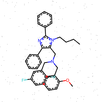 CCCCn1c(-c2ccccc2)nc(-c2ccccc2)c1CN(Cc1cc(F)ccc1F)Cc1ccccc1OC